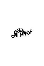 C[C@@H]1CN(C(=O)COc2cccc(Nc3ccccc3)c2)[C@@H](C)CN1Cc1ccc(F)cc1